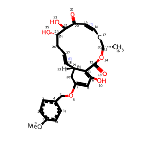 COc1ccc(COC2=CC(O)=C3C(=O)O[C@@H](C)C/C=C\C(=O)C(O)[C@@H](O)C/C=C/[C@H]3C2)cc1